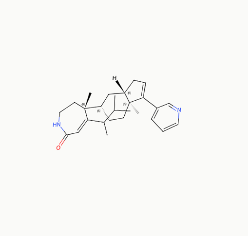 CC(C)C(C)C1=CC(=O)NCC[C@]1(C)[C@H]1CC[C@]2(C)C(c3cccnc3)=CC[C@H]2C1